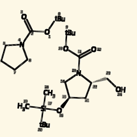 CC(C)(C)OC(=O)N1CCCC1.CC(C)(C)OC(=O)N1C[C@H](O[Si](C)(C)C(C)(C)C)C[C@H]1CO